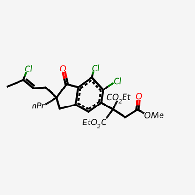 CCCC1(CC=C(C)Cl)Cc2cc(C(CC(=O)OC)(C(=O)OCC)C(=O)OCC)c(Cl)c(Cl)c2C1=O